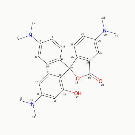 CN(C)c1ccc(C2(c3ccc(N(C)C)cc3O)OC(=O)c3cc(N(C)C)ccc32)cc1